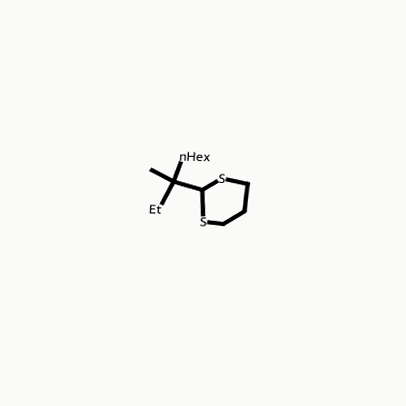 CCCCCCC(C)(CC)C1SCCCS1